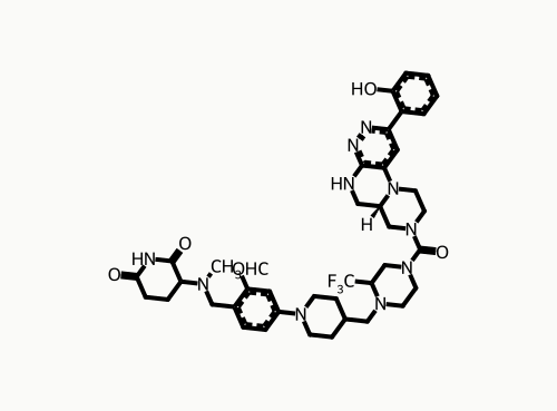 CN(Cc1ccc(N2CCC(CN3CCN(C(=O)N4CCN5c6cc(-c7ccccc7O)nnc6NC[C@H]5C4)CC3C(F)(F)F)CC2)cc1C=O)C1CCC(=O)NC1=O